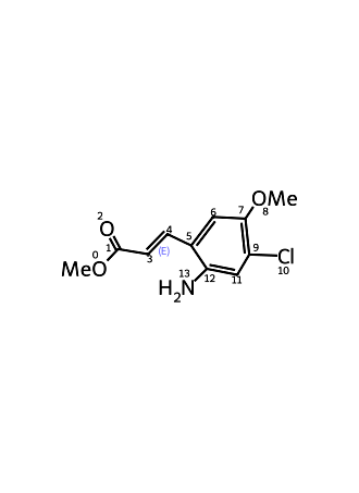 COC(=O)/C=C/c1cc(OC)c(Cl)cc1N